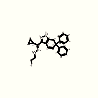 FCCON=C(c1n[nH]c2c1C=CC(c1ccccc1)(c1ccccc1)C2)C1CC1